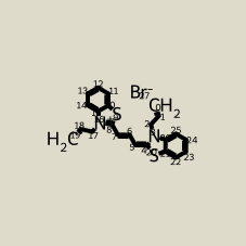 C=CCN1C(=CC=Cc2sc3ccccc3[n+]2CC=C)Sc2ccccc21.[Br-]